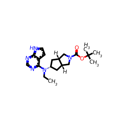 CCN(c1ncnc2[nH]ccc12)[C@@H]1C[C@@H]2CN(C(=O)OC(C)(C)C)C[C@@H]2C1